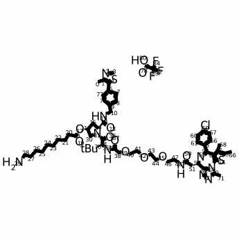 Cc1ncsc1-c1ccc(CNC(=O)[C@@H]2C[C@@H](OC(=O)CCCCCCCCCN)CN2C(=O)[C@@H](NC(=O)COCCOCCOCCNC(=O)C[C@@H]2N=C(c3ccc(Cl)cc3)c3c(sc(C)c3C)-n3c(C)nnc32)C(C)(C)C)cc1.O=C(O)C(F)(F)F